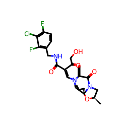 C=C1C(=O)N2C[C@@H](C)O[C@@]23CCCC3N1/C=C(\C(=O)CO)C(=O)NCc1ccc(F)c(Cl)c1F